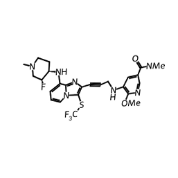 CNC(=O)c1cnc(OC)c(NCC#Cc2nc3c(N[C@@H]4CCN(C)C[C@@H]4F)cccn3c2SC(F)(F)F)c1